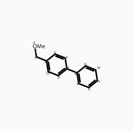 COCc1ccc(-c2ccccc2)cc1